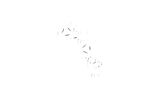 CCc1nnc(NS(=O)(=O)c2ccc3c(c2)CN(C(=O)C(C)N2CCCc4cc(Cl)ccc42)C3)s1